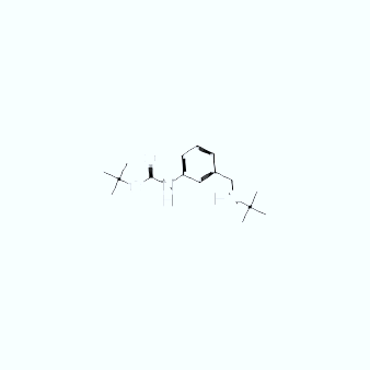 CC(C)(C)NCc1[c]c(NC(=O)OC(C)(C)C)ccc1